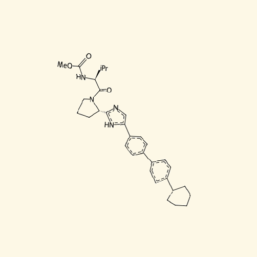 COC(=O)N[C@H](C(=O)N1CCC[C@H]1c1ncc(-c2ccc(-c3ccc(C4CCCCC4)cc3)cc2)[nH]1)C(C)C